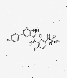 CCCS(=O)(=O)Nc1ccc(F)c(C(=O)c2c[nH]c3ncc(-c4ccc(F)cc4)cc23)c1Cl